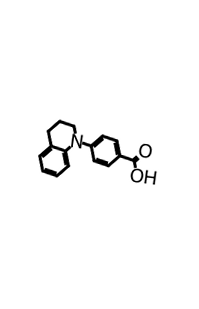 O=C(O)c1ccc(N2CCCc3ccccc32)cc1